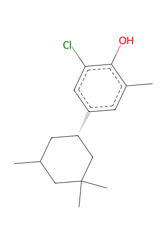 Cc1cc([C@H]2CC(C)CC(C)(C)C2)cc(Cl)c1O